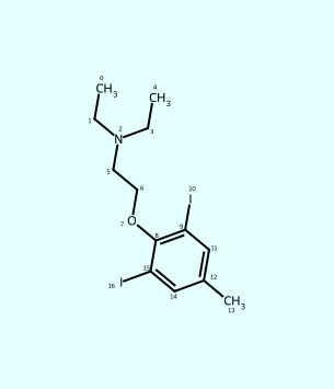 CCN(CC)CCOc1c(I)cc(C)cc1I